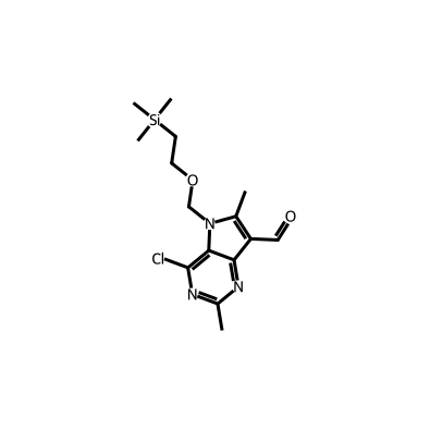 Cc1nc(Cl)c2c(n1)c(C=O)c(C)n2COCC[Si](C)(C)C